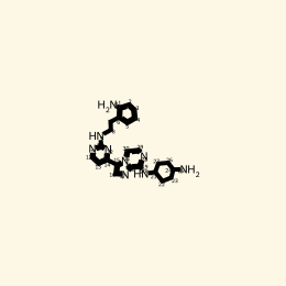 Nc1ccccc1CCNc1nccc(-c2cnc3c(NC4CCC(N)CC4)nccn23)n1